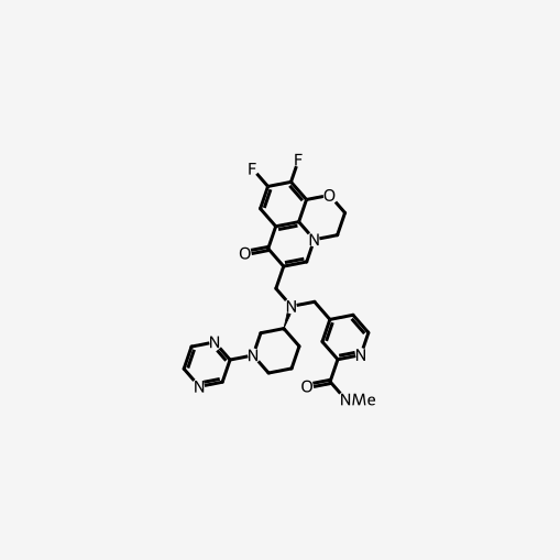 CNC(=O)c1cc(CN(Cc2cn3c4c(c(F)c(F)cc4c2=O)OCC3)[C@H]2CCCN(c3cnccn3)C2)ccn1